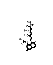 CCC(C)C(=O)OC1=C2C(CC[C@H](C)[C@@H]2CC[C@@H](O)C[C@@H](O)CC(=O)NO)CC(C)=C1